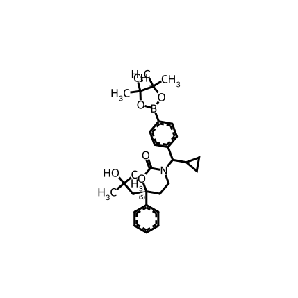 CC(C)(O)C[C@]1(c2ccccc2)CCN(C(c2ccc(B3OC(C)(C)C(C)(C)O3)cc2)C2CC2)C(=O)O1